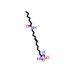 CCCCCCC(=O)NCCCC/C=C/CCCCCC1NOS(=O)N1